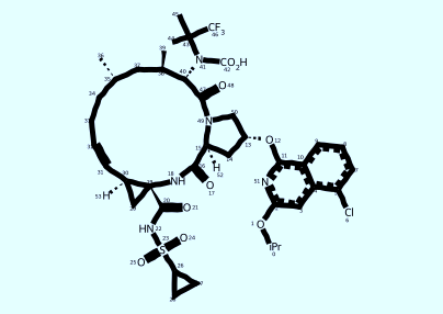 CC(C)Oc1cc2c(Cl)cccc2c(O[C@@H]2C[C@H]3C(=O)N[C@]4(C(=O)NS(=O)(=O)C5CC5)C[C@H]4/C=C\CC[C@H](C)C[C@@H](C)[C@H](N(C(=O)O)C(C)(C)C(F)(F)F)C(=O)N3C2)n1